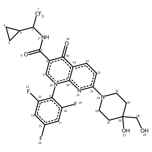 O=C(NC(C1CC1)C(F)(F)F)c1cn(-c2c(F)cc(F)cc2F)c2nc(N3CCC(O)(CO)CC3)ccc2c1=O